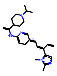 C=C/C(=C\C=C1\C=NC(NC(=C)C2CCN(C(C)C)CC2)=CC1)c1cnc(C)n1C